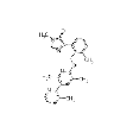 Cc1cc(-c2ncccc2C)c(C)nc1OCc1c(C)cccc1-n1nnn(C)c1=O